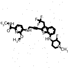 CNC(=O)c1ccc(NCC#Cc2sc3c(NC4CCN(C)CC4F)cccc3c2CC(F)(F)F)c(OC)n1